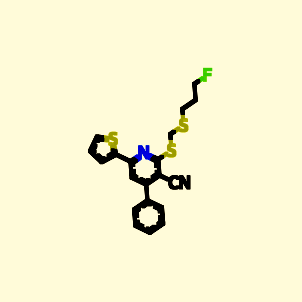 N#Cc1c(-c2ccccc2)cc(-c2cccs2)nc1SCSCCCF